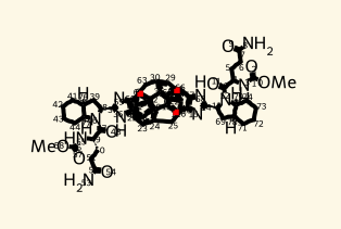 COC(=O)NC(CCC(N)=O)C(=O)N1[C@H](c2nc3cc(-c4cc5ccc4CCc4ccc(c(-c6ccc7[nH]c([C@@H]8C[C@@H]9CCCC[C@@H]9N8C(=O)[C@H](CCC(N)=O)NC(=O)OC)nc7c6)c4)CC5)ccc3[nH]2)C[C@@H]2CCCC[C@@H]21